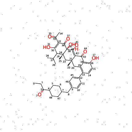 CCC(=O)C1CCC(Cc2ccc(-c3ccc(O)c4c3C[C@]3(C)C[C@]5(C)C(C(C)C)C(O)=C(C(C)=O)C(=O)[C@]5(O)C(O)=C3C4=O)cc2)CC1